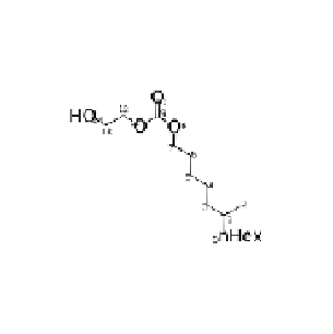 CCCCCCC(C)CCCCCOC(=O)OCCO